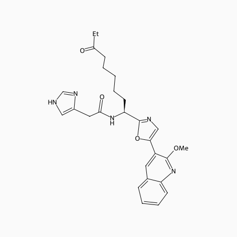 CCC(=O)CCCCC[C@H](NC(=O)Cc1c[nH]cn1)c1ncc(-c2cc3ccccc3nc2OC)o1